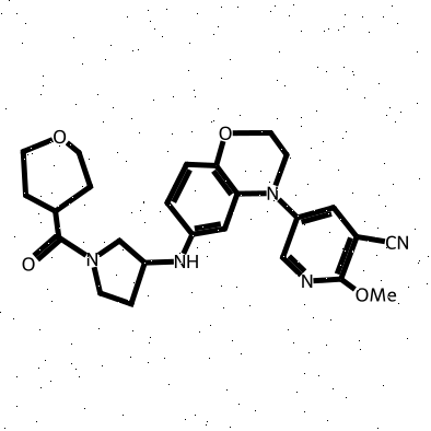 COc1ncc(N2CCOc3ccc(NC4CCN(C(=O)C5CCOCC5)C4)cc32)cc1C#N